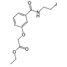 CCOC(=O)COc1cccc(C(=O)NCCI)c1